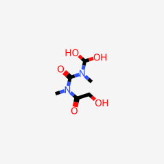 CN(C(=O)CO)C(=O)N(C)C(O)O